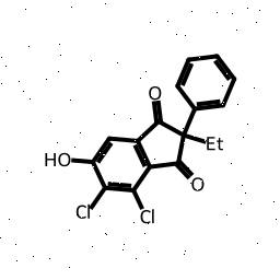 CCC1(c2ccccc2)C(=O)c2cc(O)c(Cl)c(Cl)c2C1=O